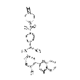 O=C(Nc1ccc(Cl)c(-c2cnc3ccccc3n2)c1)c1ccc(S(=O)(=O)N2CCNCC2)cc1